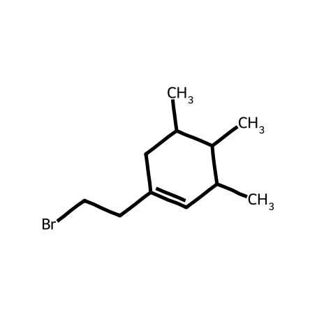 CC1C=C(CCBr)CC(C)C1C